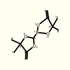 C=C1OB(C2OC(=C)C(C)(C)O2)OC1(C)C